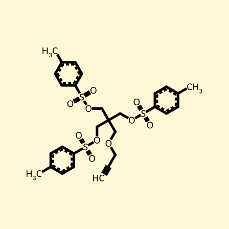 C#CCOCC(COS(=O)(=O)c1ccc(C)cc1)(COS(=O)(=O)c1ccc(C)cc1)COS(=O)(=O)c1ccc(C)cc1